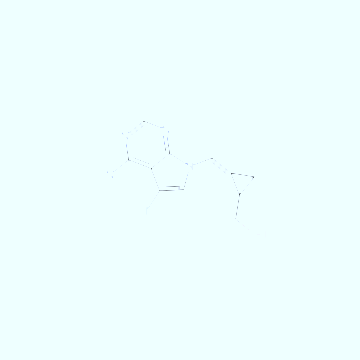 Nc1ncnc2c1c(Cl)cn2/C=C1/CC1CO